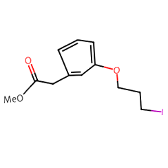 COC(=O)Cc1cccc(OCCCI)c1